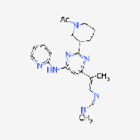 C=N/C=N\C=C(/C)c1cc(Nc2ccccn2)nc(C2CCCN(C(C)=O)C2)n1